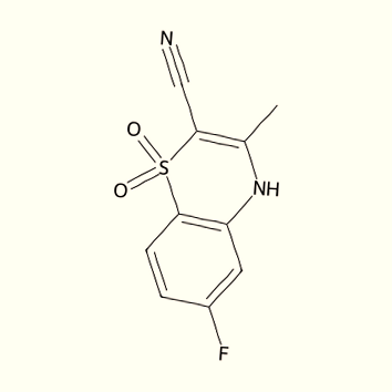 CC1=C(C#N)S(=O)(=O)c2ccc(F)cc2N1